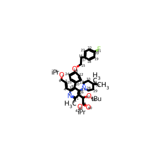 Cc1nc(C=CCOC(C)C)c(-c2ccc(OCCc3ccc(F)cc3)cc2)c(N2CCC(C)(C)CC2)c1C(OC(C)(C)C)C(=O)OC(C)C